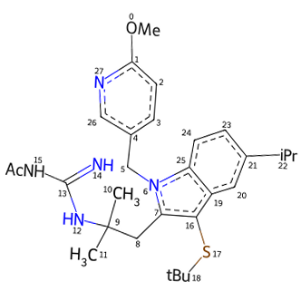 COc1ccc(Cn2c(CC(C)(C)NC(=N)NC(C)=O)c(SC(C)(C)C)c3cc(C(C)C)ccc32)cn1